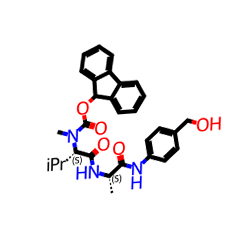 CC(C)[C@@H](C(=O)N[C@@H](C)C(=O)Nc1ccc(CO)cc1)N(C)C(=O)OC1c2ccccc2-c2ccccc21